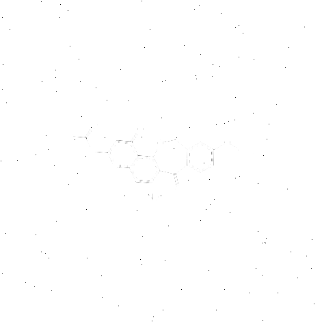 COc1ccc2c(c1)COc1c(ccc3oc(OC(=O)[O-])cc(=O)c13)C2=O.[Na+]